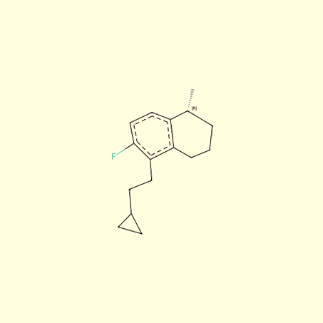 C[C@@H]1CCCc2c1ccc(F)c2CCC1CC1